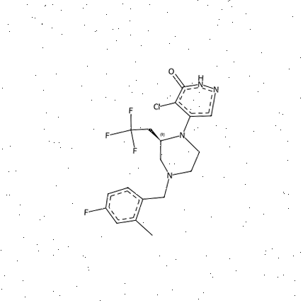 Cc1cc(F)ccc1CN1CCN(c2cn[nH]c(=O)c2Cl)[C@H](CC(F)(F)F)C1